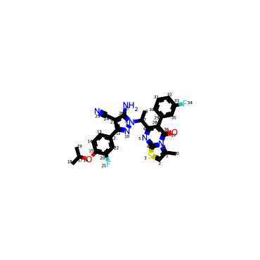 Cc1csc2nc(C(C)n3nc(-c4ccc(OC(C)C)c(F)c4)c(C#N)c3N)c(-c3cccc(F)c3)c(=O)n12